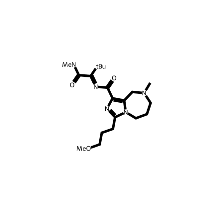 CNC(=O)/C(=N/C(=O)c1nc(CCCOC)n2c1CN(C)CCC2)C(C)(C)C